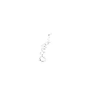 COc1cc2c(cc1OCCOC(C)=O)OCC1C2=NOC1CN1CCC(/C2=C/NC/C=C\C(F)=C/C2)CC1